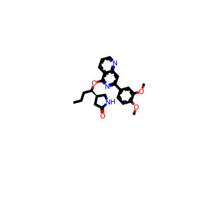 CCCC(Oc1nc(-c2ccc(OC)c(OC)c2)cc2ncccc12)[C@H]1CNC(=O)C1